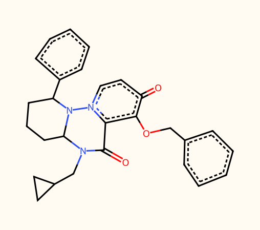 O=C1c2c(OCc3ccccc3)c(=O)ccn2N2C(c3ccccc3)CCCC2N1CC1CC1